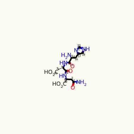 NC(=O)C[C@H](NC(=O)[C@H](CC(=O)O)NC(=O)[C@@H](N)Cc1c[nH]cn1)C(=O)O